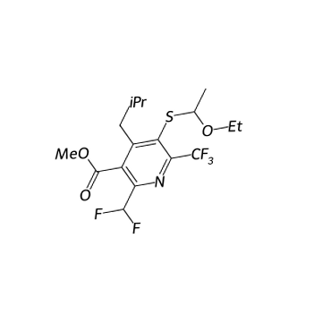 CCOC(C)Sc1c(C(F)(F)F)nc(C(F)F)c(C(=O)OC)c1CC(C)C